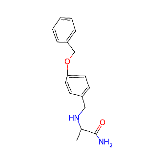 CC(NCc1ccc(OCc2ccccc2)cc1)C(N)=O